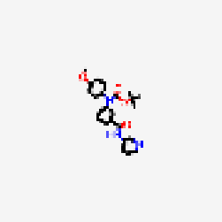 COc1ccc(N(C(=O)OC(C)(C)C)c2cccc(C(=O)Nc3cccnc3)c2)cc1